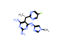 C[C@H](c1ncc(F)cn1)c1c(N)nc(N)nc1Nc1cn(C)cn1